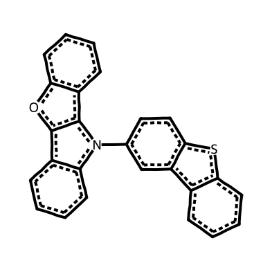 c1ccc2c(c1)oc1c3ccccc3n(-c3ccc4sc5ccccc5c4c3)c21